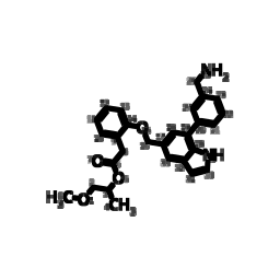 COCC(C)OC(=O)Cc1ccccc1OCc1cc(-c2cccc(CN)c2)c2[nH]ccc2c1